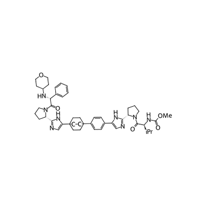 COC(=O)N[C@H](C(=O)N1CCC[C@H]1c1ncc(-c2ccc(C34CCC(c5cnc([C@@H]6CCCN6C(=O)[C@H](NC6CCOCC6)c6ccccc6)[nH]5)(CC3)CC4)cc2)[nH]1)C(C)C